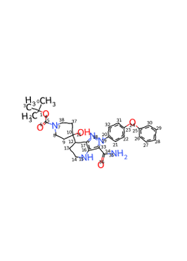 CC(C)(C)OC(=O)N1CCC(O)(C2CCNc3c2nn(-c2ccc(Oc4ccccc4)cc2)c3C(N)=O)CC1